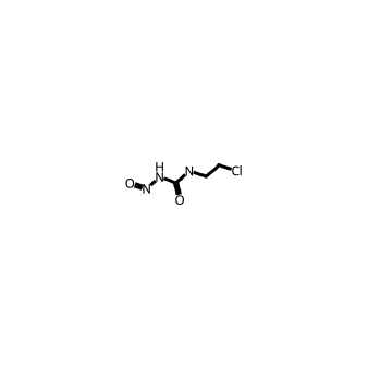 O=NNC(=O)[N]CCCl